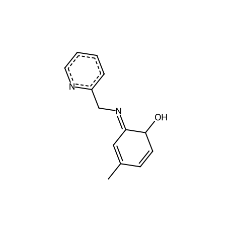 CC1=C/C(=N\Cc2ccccn2)C(O)C=C1